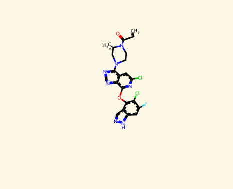 C=CC(=O)N1CCN(c2ncnc3c(Oc4c(Cl)c(F)cc5[nH]ncc45)nc(Cl)cc23)C[C@H]1C